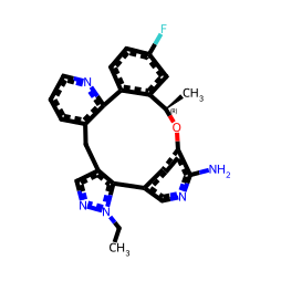 CCn1ncc2c1-c1cnc(N)c(c1)O[C@H](C)c1cc(F)ccc1-c1ncccc1C2